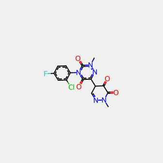 CN1N=CC(c2nn(C)c(=O)n(-c3ccc(F)cc3Cl)c2=O)C(=O)C1=O